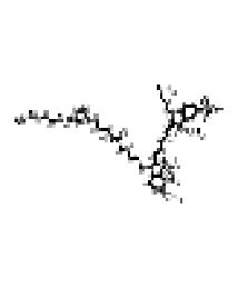 CCCCN1/C(=C/C=C/C=C/C2=[N+](CCCCCC(=O)NCCCn3cc(CNCCCN=[N+]=[N-])nn3)c3ccc(C)cc3C2(C)C)C(C)(C)c2cc(S(=O)(=O)O)ccc21